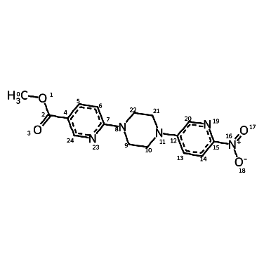 COC(=O)c1ccc(N2CCN(c3ccc([N+](=O)[O-])nc3)CC2)nc1